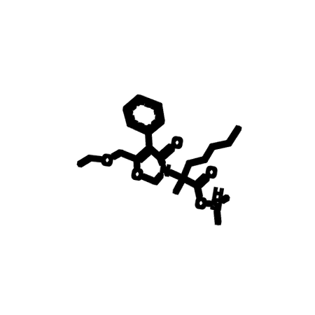 CCCCCC(C)(C(=O)O[SiH](C)C)N1COC(COCC)=C(c2ccccc2)C1=O